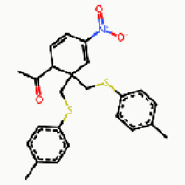 CC(=O)C1C=CC([N+](=O)[O-])=CC1(CSc1ccc(C)cc1)CSc1ccc(C)cc1